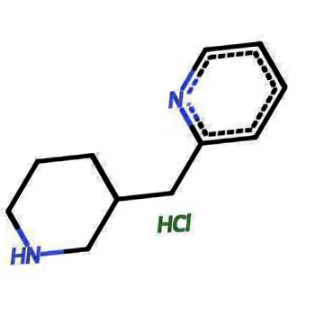 Cl.c1ccc(CC2CCCNC2)nc1